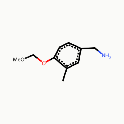 COCOc1ccc(CN)cc1C